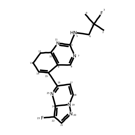 CC(C)(F)CNc1ncc2c(n1)CCC=C2c1ccn2ncc(F)c2n1